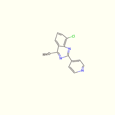 COc1nc(-c2ccncc2)nc2c(Cl)cccc12